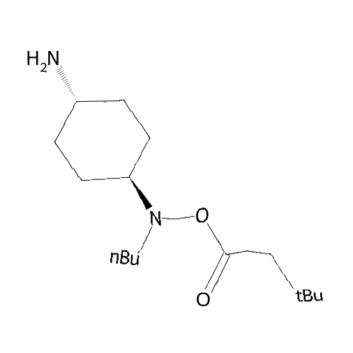 CCCCN(OC(=O)CC(C)(C)C)[C@H]1CC[C@H](N)CC1